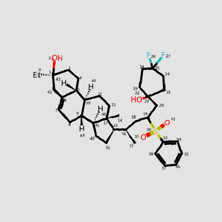 CC[C@]1(O)CC[C@H]2C(=CC[C@@H]3[C@@H]2CC[C@]2(C)[C@@H]([C@H](C)CC(CC4(O)CCC(F)(F)CC4)S(=O)(=O)c4ccccc4)CC[C@@H]32)C1